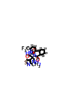 Cc1nscc1C1(CN)C(=O)NC(=O)N1C(=O)c1ccccc1-c1ccc(C(F)(F)F)nc1